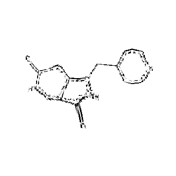 O=c1cc2c(c[nH]1)c(=O)[nH]n2Cc1ccncc1